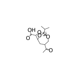 CC(=O)C1CO[Si]2(C(C)C)OC(C1)C(C(=O)O)O2